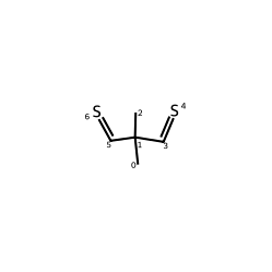 CC(C)(C=S)C=S